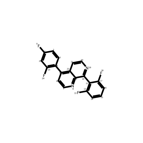 Fc1ccc(-c2ccnc3c(-c4c(F)cccc4F)nccc23)c(F)c1